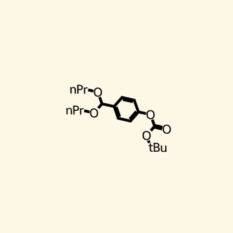 CCCOC(OCCC)c1ccc(OC(=O)OC(C)(C)C)cc1